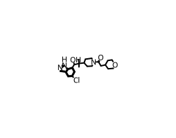 CC(C)(C1CCN(C(=O)CC2CCOCC2)CC1)C(O)c1cc(Cl)cc2cn[nH]c12